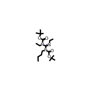 CCCCN(C(=O)OC(C)(C)C)/C(=N/CC)N(CC)C(=O)OC(C)(C)C